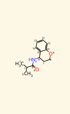 CC(C)C(=O)NC1CCOc2ccccc21